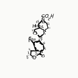 C[C@@H]1Cc2c(ccc([C@H]3CN4CCN(C(=O)O)C[C@@H]4CO3)c2F)C(=O)O1